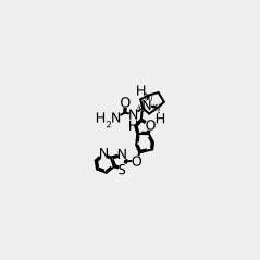 NC(=O)N[C@H]1C[C@H]2CC[C@@H](C1)N2Cc1cc2cc(Oc3nc4ncccc4s3)ccc2o1